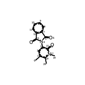 Cc1cc(N2C(=O)c3ccccc3C2=O)c(=O)n(C)c1C